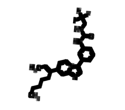 C/C=C(\CCCCC)c1ccn2c(-c3cccc(NC(=O)NCC(F)(F)F)c3)cnc2c1